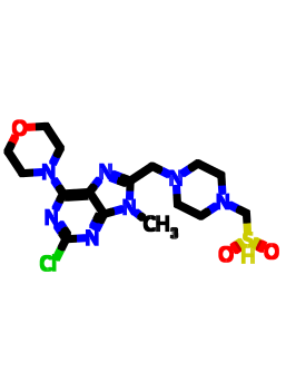 Cn1c(CN2CCN(C[SH](=O)=O)CC2)nc2c(N3CCOCC3)nc(Cl)nc21